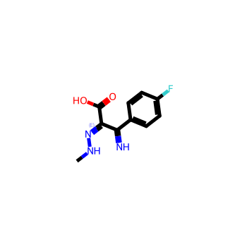 CN/N=C(\C(=N)c1ccc(F)cc1)C(=O)O